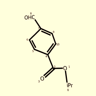 CC(C)OC(=O)c1ccc(C=O)cc1